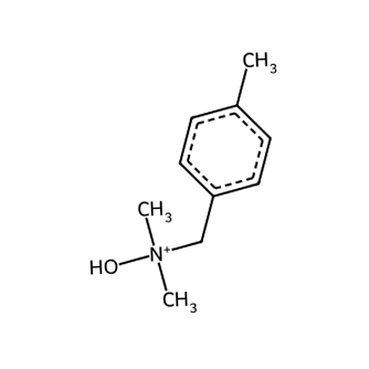 Cc1ccc(C[N+](C)(C)O)cc1